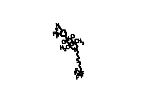 CC12CN(CCCSCCCC(F)(F)C(F)(F)F)CC(C)(O1)C1C(=O)N(c3ccc(C#N)c(C(F)(F)F)c3)C(=O)C12